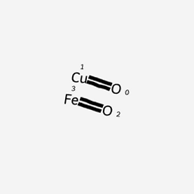 [O]=[Cu].[O]=[Fe]